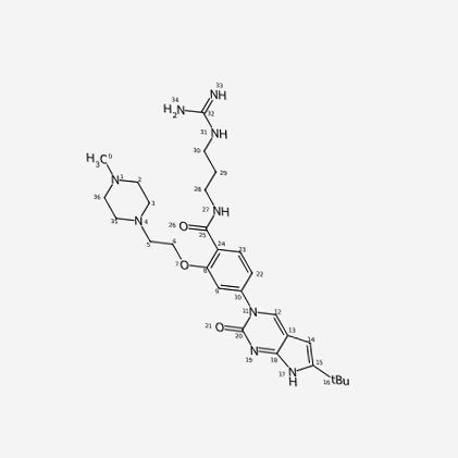 CN1CCN(CCOc2cc(-n3cc4cc(C(C)(C)C)[nH]c4nc3=O)ccc2C(=O)NCCCNC(=N)N)CC1